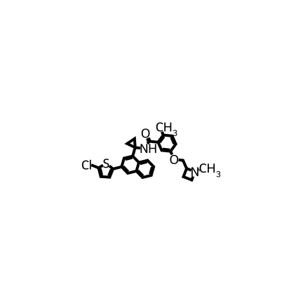 Cc1ccc(OCC2CCN2C)cc1C(=O)NC1(c2cc(-c3ccc(Cl)s3)cc3ccccc23)CC1